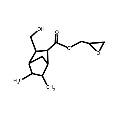 CC1C(C)C2CC1C(CO)C2C(=O)OCC1CO1